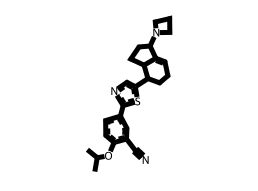 CC(C)Oc1ccc(-c2ncc(C3CCC=C4C3CCC4N3CCC3)s2)cc1C#N